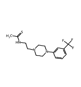 CC(=S)NCCN1CCN(c2cccc(C(F)(F)F)c2)CC1